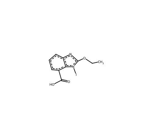 CCOc1nc2cccc(C(=O)O)c2n1I